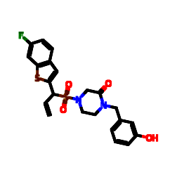 C=CC(c1cc2ccc(F)cc2s1)S(=O)(=O)N1CCN(Cc2cccc(O)c2)C(=O)C1